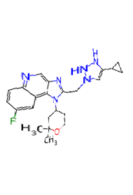 CC1(C)CC(n2c(CN3C=C(C4CC4)NN3)nc3cnc4ccc(F)cc4c32)CCO1